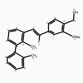 COc1cc(C(F)=Cc2cccc(-c3ccccc3C)c2C)ccc1CO